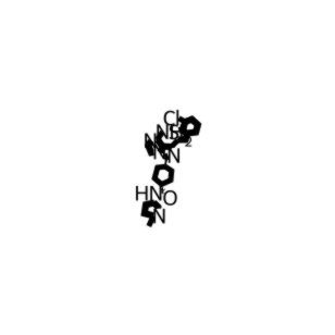 Cc1ccc(NC(=O)[C@H]2CC[C@H](c3nc(-c4cc5cccc(Cl)c5s4)c4c(N)nccn43)CC2)cn1